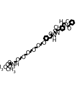 Cc1ccccc1C(=O)N1CCc2cc(-c3nc(NC(=O)Cc4cccc(OCCOCCOCCOCCOCCOCCNC(=O)OC(C)(C)C)c4)sc3C)ccc21